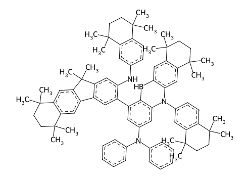 CC1(C)CCC(C)(C)c2cc(Nc3cc4c(cc3-c3cc(N(c5ccccc5)c5ccccc5)cc5c3Bc3cc6c(cc3N5c3ccc5c(c3)C(C)(C)CCC5(C)C)C(C)(C)CCC6(C)C)-c3cc5c(cc3C4(C)C)C(C)(C)CCC5(C)C)ccc21